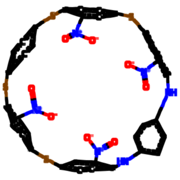 O=[N+]([O-])c1cc2ccc1Nc1ccc(cc1)Nc1ccc(cc1[N+](=O)[O-])Sc1ccc(c([N+](=O)[O-])c1)Sc1ccc(cc1)Sc1ccc(cc1[N+](=O)[O-])S2